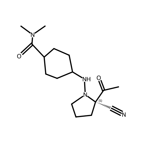 CC(=O)[C@@]1(C#N)CCCN1NC1CCC(C(=O)N(C)C)CC1